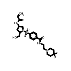 C=CC(=O)NC1CC(CO)N(S(=O)(=O)c2ccc(C(=O)NCCN3CCC(F)(F)CC3)cc2)C1